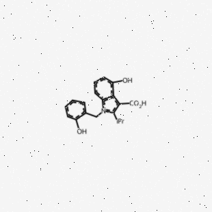 CC(C)c1c(C(=O)O)c2c(O)cccc2n1Cc1ccccc1O